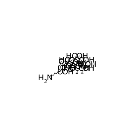 NCCCCCOC1OC(CO)C(OC2OC(C(=O)O)C(O)C(OC3OC(CO)C(OC4OC(C(=O)O)C(O)C(O)C4O)C(O)C3O)C2O)C(O)C1O